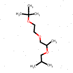 CC(C)COC(C)COCCOC(C)(C)C